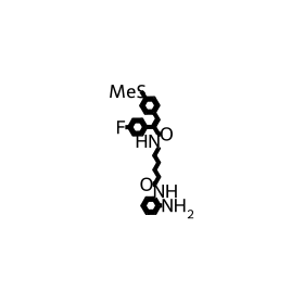 CSc1ccc(C=C(C(=O)NCCCCCC(=O)Nc2ccccc2N)c2ccc(F)cc2)cc1